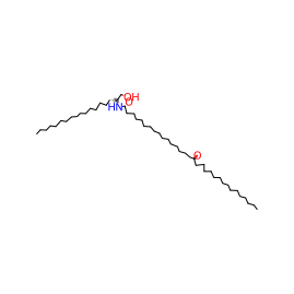 CCCCCCCCCCCCCCCC[C@H](CO)NC(=O)CCCCCCCCCCCCCCCC(=O)CCCCCCCCCCCCCCC